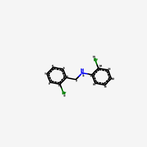 Brc1ccccc1CNc1ccccc1Br